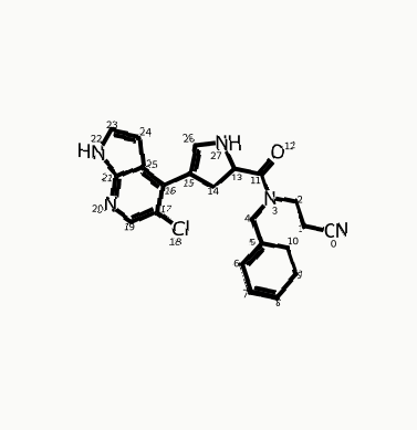 N#CCCN(CC1=CC=CCC1)C(=O)C1CC(c2c(Cl)cnc3[nH]ccc23)=CN1